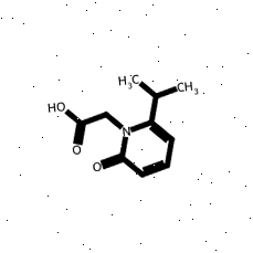 CC(C)c1cccc(=O)n1CC(=O)O